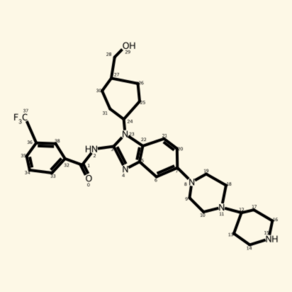 O=C(Nc1nc2cc(N3CCN(C4CCNCC4)CC3)ccc2n1C1CCC(CO)CC1)c1cccc(C(F)(F)F)c1